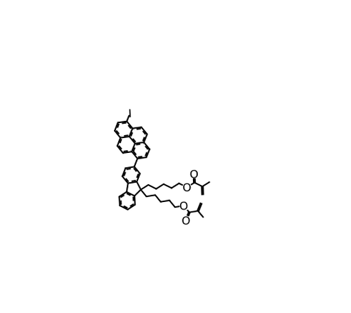 C=C(C)C(=O)OCCCCCC1(CCCCCOC(=O)C(=C)C)c2ccccc2-c2ccc(-c3ccc4ccc5c(I)ccc6ccc3c4c65)cc21